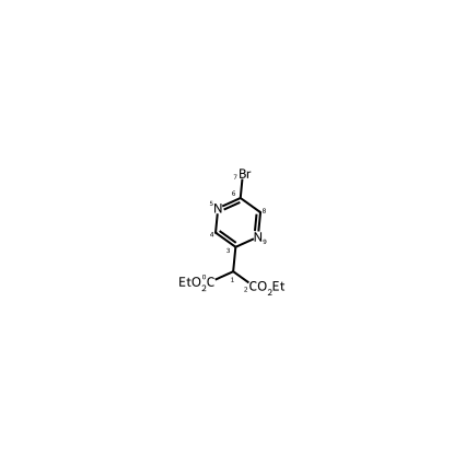 CCOC(=O)C(C(=O)OCC)c1cnc(Br)cn1